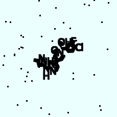 Cc1cc(Nc2nccc(-c3ccn([C@H](CO)c4ccc(Cl)c(F)c4)c(=O)c3)n2)[nH]n1